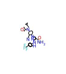 N#CC1CC(N(CC2CC2)C2COC2)CCC1n1cc(C(N)=O)c(Nc2ccc(C(F)(F)F)cc2)n1